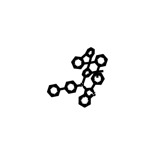 CC1(C)c2ccccc2C2(c3ccccc3-c3ccccc32)c2ccc(N(c3ccc(-c4ccccc4)cc3)c3c(-c4ccccc4)sc4ccccc34)cc21